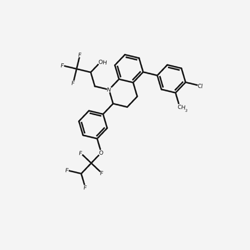 Cc1cc(-c2cccc3c2CCC(c2cccc(OC(F)(F)C(F)F)c2)N3CC(O)C(F)(F)F)ccc1Cl